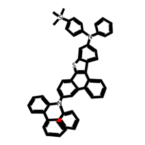 C[Si](C)(C)c1ccc(N(c2ccccc2)c2ccc3c(c2)sc2c4ccc(N(c5ccccc5)c5ccccc5-c5ccccc5)cc4c4ccccc4c32)cc1